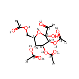 CC(=O)OC[C@H]1OC(O)(C(C)=O)[C@@H](OC(C)=O)[C@@H](OC(C)=O)[C@@H]1OC(C)=O